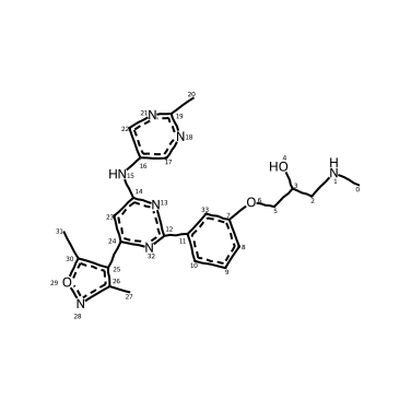 CNCC(O)COc1cccc(-c2nc(Nc3cnc(C)nc3)cc(-c3c(C)noc3C)n2)c1